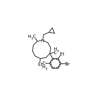 CCc1c(Br)ccc(C)c1C1(C)CCN(CC2CC2)C(C)CCCC(CC)C1